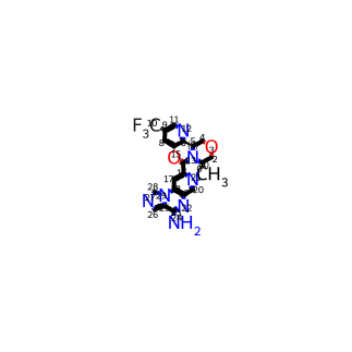 C[C@@H]1COC[C@H](c2ccc(C(F)(F)F)cn2)N1C(=O)c1cc2c(cn1)nc(N)c1cncn12